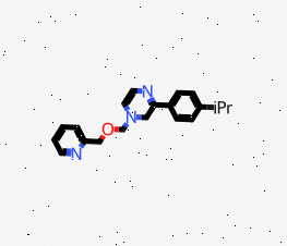 CC(C)c1ccc(C2=NC=CN(COCc3ccccn3)C2)cc1